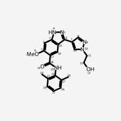 COc1cc2[nH]nc(-c3cnn(CCO)c3)c2cc1C(=O)Nc1c(C)cccc1C